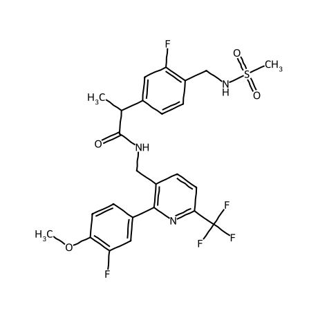 COc1ccc(-c2nc(C(F)(F)F)ccc2CNC(=O)C(C)c2ccc(CNS(C)(=O)=O)c(F)c2)cc1F